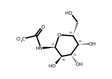 O=C(N[C@H]1O[C@H](CO)[C@H](O)[C@H](O)[C@H]1O)C(Cl)(Cl)Cl